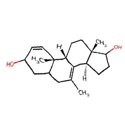 CC1=C2[C@@H](CC[C@]3(C)C(O)CC[C@@H]23)[C@@]2(C)C=CC(O)CC2C1